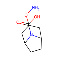 NOC1CC2CCC(C1)N2C(=O)O